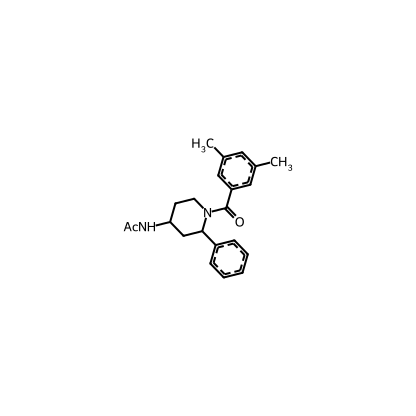 CC(=O)NC1CCN(C(=O)c2cc(C)cc(C)c2)C(c2ccccc2)C1